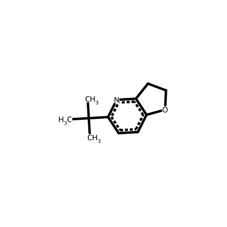 CC(C)(C)c1ccc2c(n1)CCO2